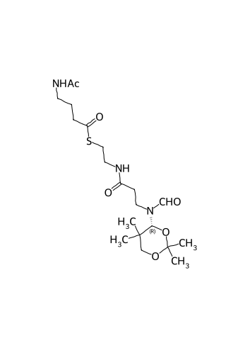 CC(=O)NCCCC(=O)SCCNC(=O)CCN(C=O)[C@@H]1OC(C)(C)OCC1(C)C